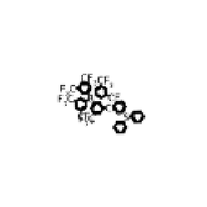 FC(F)(F)c1cc([B-](c2cc(C(F)(F)F)cc(C(F)(F)F)c2)(c2cc(C(F)(F)F)cc(C(F)(F)F)c2)c2cc(C(F)(F)F)cc(C(F)(F)F)c2)cc(C(F)(F)F)c1.c1ccc([S+](c2ccccc2)c2ccccc2)cc1